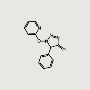 O=C1N=NN(Oc2ccccn2)C1c1ccccc1